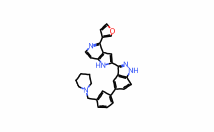 c1cc(CN2CCCCC2)cc(-c2ccc3[nH]nc(-c4cc5c(-c6ccoc6)nccc5[nH]4)c3c2)c1